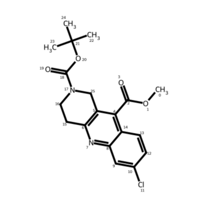 COC(=O)c1c2c(nc3cc(Cl)ccc13)CCN(C(=O)OC(C)(C)C)C2